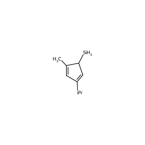 CC1=CC(C(C)C)=CC1[SiH3]